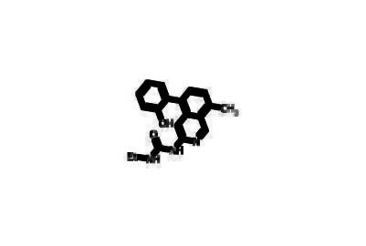 CCNC(=O)Nc1cc2c(-c3ccccc3O)ccc(C)c2cn1